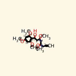 C#C/C=C(\C=C(/CC(O)c1c(OC)cc(OC)cc1OC)OC)OC